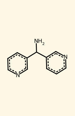 NC(c1cccnc1)c1cccnc1